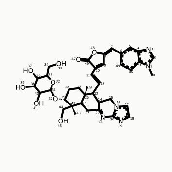 Cn1cnc2cc(/C=C3C=C(/C=C/C4C5Cn6ccnc6N=C5CC5[C@]4(C)CC[C@@H](OC4OC(CO)C(O)C(O)C4O)[C@@]5(C)CO)C(=O)O\3)ccc21